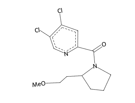 COCCC1CCCN1C(=O)c1cc(Cl)c(Cl)cn1